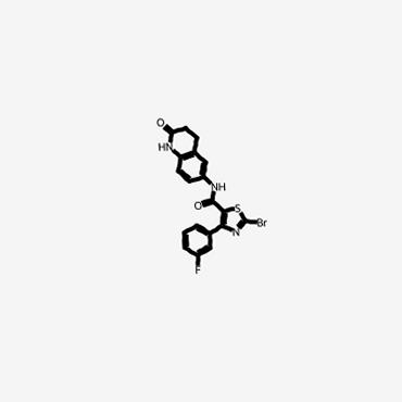 O=C1CCc2cc(NC(=O)c3sc(Br)nc3-c3cccc(F)c3)ccc2N1